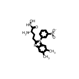 Cc1cc2nc(CC[C@H](N)C(=O)NO)n(-c3cccc([N+](=O)[O-])c3)c2cc1C